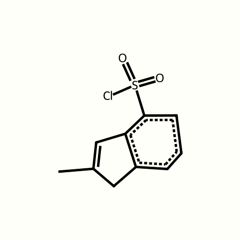 CC1=Cc2c(cccc2S(=O)(=O)Cl)C1